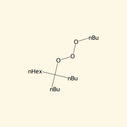 CCCCCCC(CCCC)(CCCC)OOOCCCC